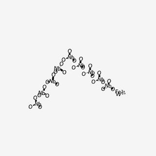 [Fe+3].[O]=[Nb](=[O])[O-].[O]=[Nb](=[O])[O-].[O]=[Nb](=[O])[O-].[O]=[Nb](=[O])[O-].[O]=[Nb](=[O])[O-].[O]=[Nb](=[O])[O-].[O]=[Nb](=[O])[O-].[O]=[Nb](=[O])[O-].[O]=[Nb](=[O])[O-].[W+6]